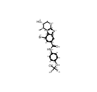 C[C@H]1[C@H](O)COc2nc3cc(C(=O)Nc4ccc(OC(F)(F)Cl)cc4)cc(Br)c3n21